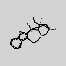 CC[C@H]1C[C@H]2C[C@H]3c4[nH]c5ccccc5c4CCN(C2)C13